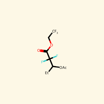 CCC(OC(C)=O)C(F)(F)C(=O)OCC(F)(F)F